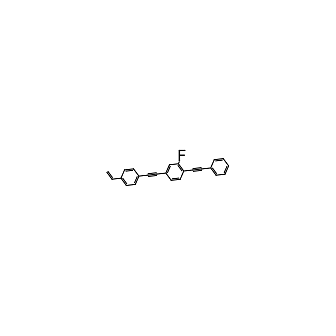 C=Cc1ccc(C#Cc2ccc(C#Cc3ccccc3)c(F)c2)cc1